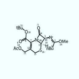 CCCCC(=N[C@@H]1C(=O)N2C(C(=O)OC(C)(C)C)=C(COC(C)=O)CS[C@H]12)OC